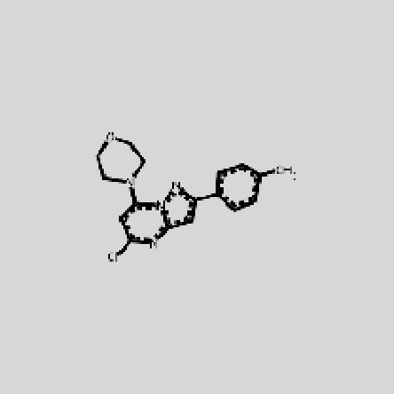 Cc1ccc(-c2cc3nc(Cl)cc(N4CCOCC4)n3n2)cc1